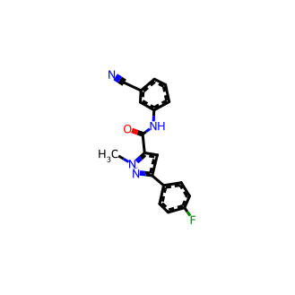 Cn1nc(-c2ccc(F)cc2)cc1C(=O)Nc1cccc(C#N)c1